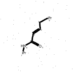 CC(C)C/C=C/C(=O)NC(C)C